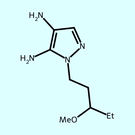 CCC(CCn1ncc(N)c1N)OC